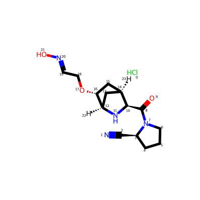 Cl.N#C[C@@H]1CCCN1C(=O)[C@H]1N[C@@H]2C[C@H]1C[C@H]2OCC=NO